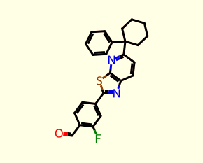 O=Cc1ccc(-c2nc3ccc(C4(c5ccccc5)CCCCC4)nc3s2)cc1F